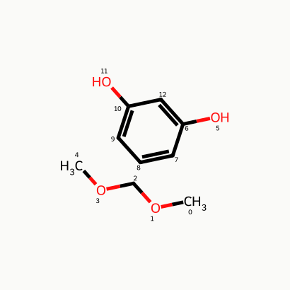 COCOC.Oc1cccc(O)c1